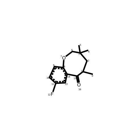 CC1CC(C)(C)COc2ccc(F)cc2C1=O